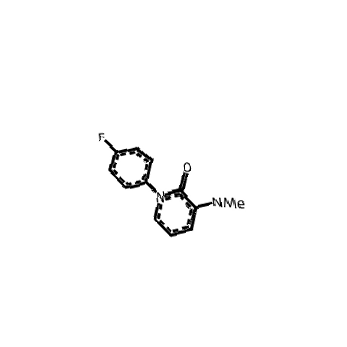 CNc1cccn(-c2ccc(F)cc2)c1=O